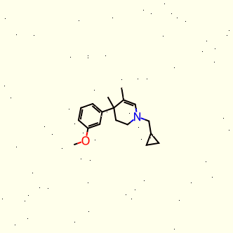 COc1cccc(C2(C)CCN(CC3CC3)C=C2C)c1